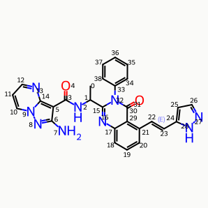 CC(NC(=O)c1c(N)nn2cccnc12)c1nc2cccc(/C=C/c3ccn[nH]3)c2c(=O)n1-c1ccccc1